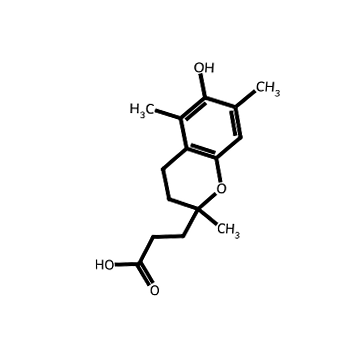 Cc1cc2c(c(C)c1O)CCC(C)(CCC(=O)O)O2